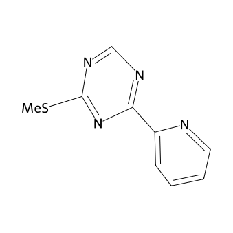 CSc1ncnc(-c2ccccn2)n1